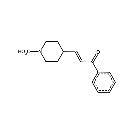 O=C(C=CC1CCN(C(=O)O)CC1)c1ccccc1